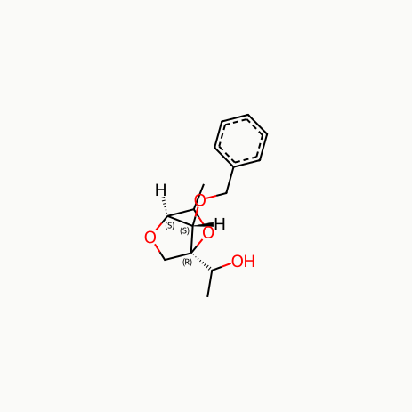 CC1O[C@@]2(C(C)O)CO[C@@H]1[C@@H]2OCc1ccccc1